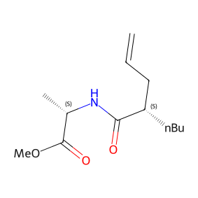 C=CC[C@H](CCCC)C(=O)N[C@@H](C)C(=O)OC